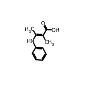 CC(Nc1ccccc1)=C(C)C(=O)O